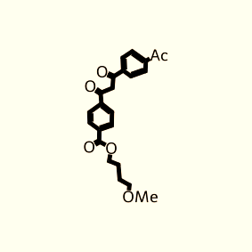 COCCCCOC(=O)c1ccc(C(=O)CC(=O)c2ccc(C(C)=O)cc2)cc1